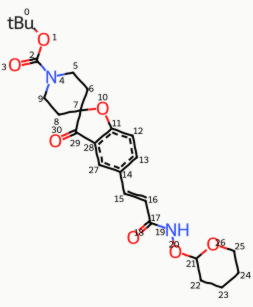 CC(C)(C)OC(=O)N1CCC2(CC1)Oc1ccc(/C=C/C(=O)NOC3CCCCO3)cc1C2=O